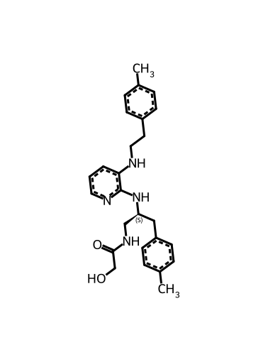 Cc1ccc(CCNc2cccnc2N[C@H](CNC(=O)CO)Cc2ccc(C)cc2)cc1